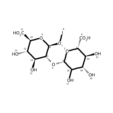 O=C(O)[C@H]1O[C@@H](O[C@H]2[C@H](OI)O[C@H](C(=O)O)[C@@H](O)[C@@H]2O)C(O)[C@@H](O)[C@@H]1O